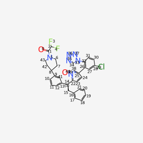 O=C(C(F)F)N1CCC(c2cccc([C@H](Cc3ccccc3)c3ccc(-c4cc(Cl)ccc4-n4cnnn4)c[n+]3[O-])c2)CC1